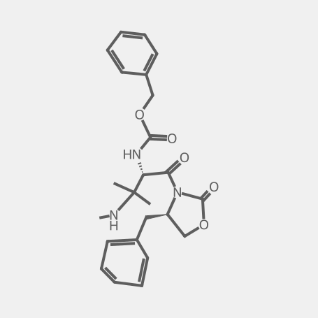 CNC(C)(C)[C@H](NC(=O)OCc1ccccc1)C(=O)N1C(=O)OC[C@H]1Cc1ccccc1